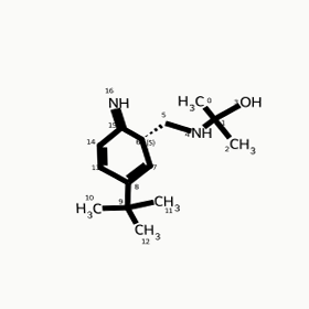 CC(C)(O)NC[C@@H]1C=C(C(C)(C)C)C=CC1=N